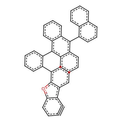 c1ccc2oc3c(-c4ccccc4-c4c5ccccc5c(-c5cccc6ccccc56)c5ccccc45)cccc3c2c#1